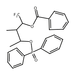 CC(OP(=O)(c1ccccc1)c1ccccc1)C(C)C(OC(=O)c1ccccc1)C(F)(F)F